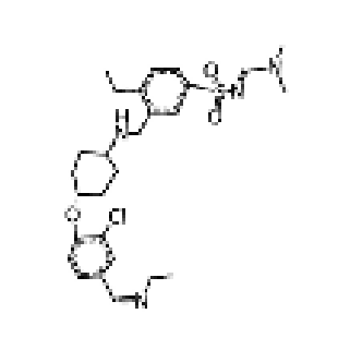 CC/N=C\c1ccc(O[C@H]2CC[C@H](NCc3cc(S(=O)(=O)/N=C/N(C)C)ccc3CC)CC2)c(Cl)c1